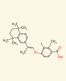 CC(=COc1ccc(C(=O)O)c(C)c1I)c1ccc2c(c1)C(C)(C)CCC2(C)C